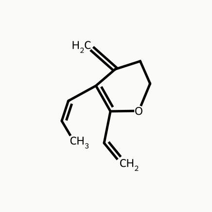 C=CC1=C(/C=C\C)C(=C)CCO1